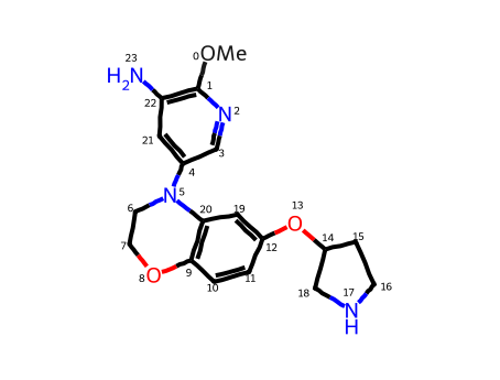 COc1ncc(N2CCOc3ccc(OC4CCNC4)cc32)cc1N